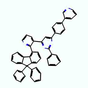 c1ccc(-c2nc(-c3ccc(-c4cccnc4)cc3)cc(-c3cccnc3-c3cccc4c3-c3ccccc3C4(c3ccccc3)c3ccccc3)n2)cc1